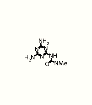 CNC(=O)Nc1nc(N)nc(N)n1